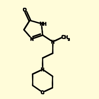 CN(CCN1CCOCC1)C1=NCC(=O)N1